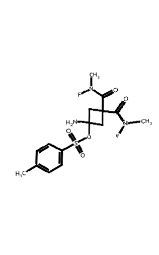 Cc1ccc(S(=O)(=O)OC2(N)CC(C(=O)N(C)F)(C(=O)N(C)F)C2)cc1